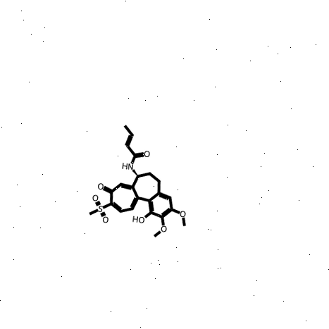 C/C=C/C(=O)N[C@H]1CCc2cc(OC)c(OC)c(O)c2-c2ccc(S(C)(=O)=O)c(=O)cc21